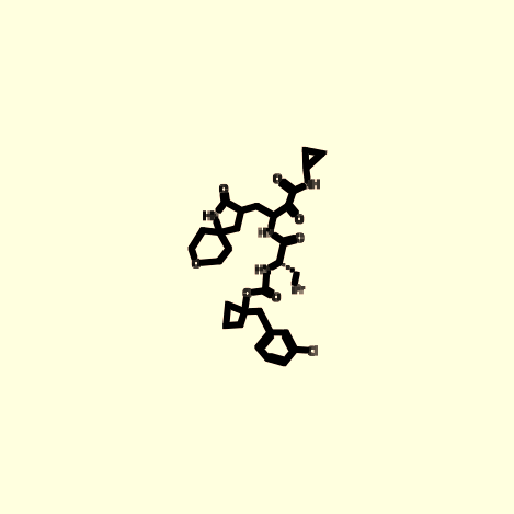 CC(C)C[C@H](NC(=O)OC1(Cc2cccc(Cl)c2)CCC1)C(=O)NC(CC1CC2(CCOCC2)NC1=O)C(=O)C(=O)NC1CC1